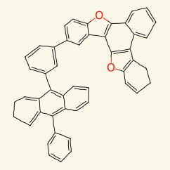 C1=Cc2oc3c(c2CC1)c1ccccc1c1oc2ccc(-c4cccc(-c5c6c(c(-c7ccccc7)c7ccccc57)=CCCC=6)c4)cc2c13